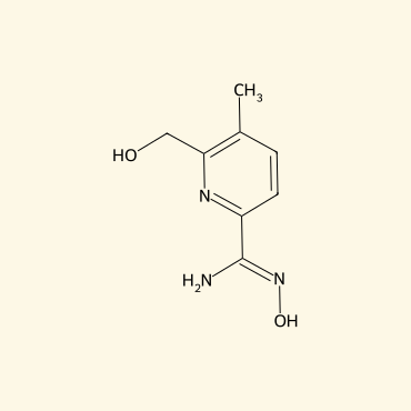 Cc1ccc(C(N)=NO)nc1CO